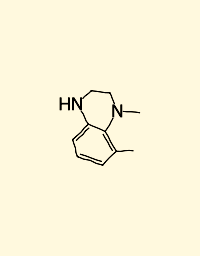 Cc1cccc2c1N(C)CCN2